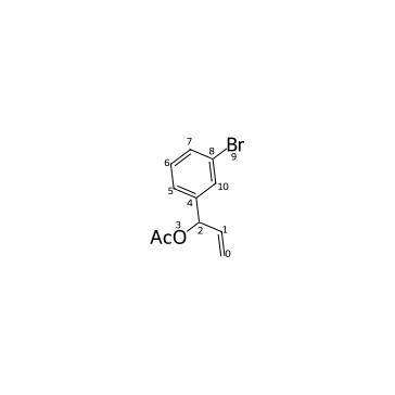 C=CC(OC(C)=O)c1cccc(Br)c1